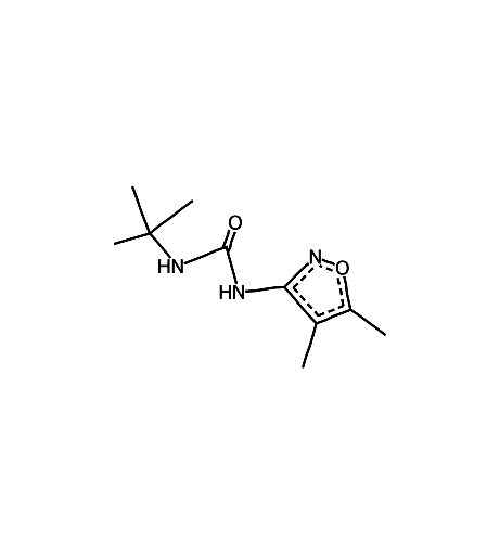 Cc1onc(NC(=O)NC(C)(C)C)c1C